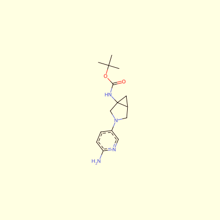 CC(C)(C)OC(=O)NC12CC1CN(c1ccc(N)nc1)C2